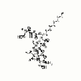 CCCCCCCCCC[C@@H](OC(=O)CNC(=O)[C@@H](C)CO)[C@@H](C)C(=O)N(C)[C@@H](CC(C)C)C(=O)N[C@H](C(=O)N[C@@H](CO)C(N)=O)C(CC)CC